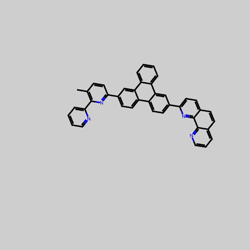 Cc1ccc(-c2ccc3c4ccc(-c5ccc6ccc7cccnc7c6n5)cc4c4ccccc4c3c2)nc1-c1ccccn1